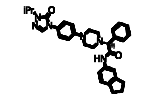 CC(C)n1ncn(-c2ccc(N3CCN([C@@H](C(=O)Nc4ccc5c(c4)CCC5)c4ccccc4)CC3)cc2)c1=O